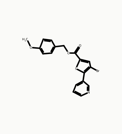 COc1ccc(COC(=O)c2cc(Br)c(-c3cccnc3)s2)cc1